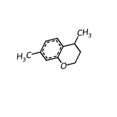 Cc1ccc2c(c1)OCCC2C